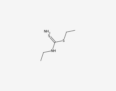 CCNC(=S)SCC.N